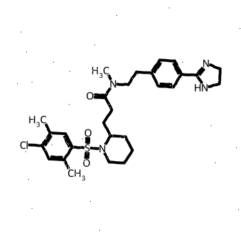 Cc1cc(S(=O)(=O)N2CCCCC2CCC(=O)N(C)CCc2ccc(C3=NCCN3)cc2)c(C)cc1Cl